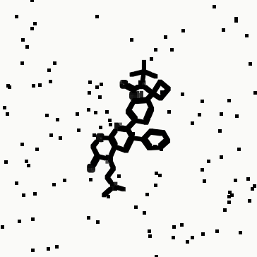 CN(C)CCN1C(=O)COc2nc(-c3ccc(C4(N(C(=O)O)C(C)(C)C)CCC4)cc3)c(-c3ccccc3)cc21